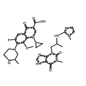 CC(C)Cn1c(=O)n(C)c(=O)c2[nH]cnc21.COc1c(N2CCNC(C)C2)c(F)cc2c(=O)c(C(=O)O)cn(C3CC3)c12.Cn1ccnc1S